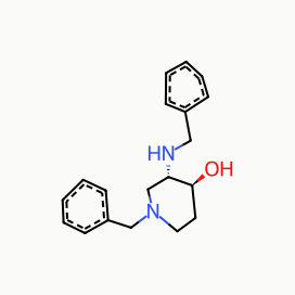 O[C@H]1CCN(Cc2ccccc2)C[C@@H]1NCc1ccccc1